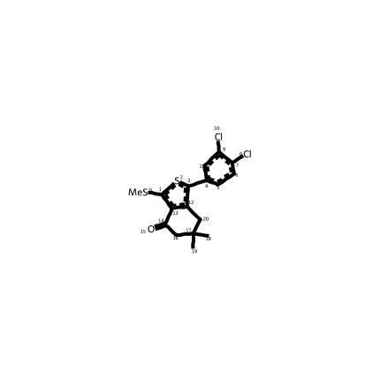 CSc1sc(-c2ccc(Cl)c(Cl)c2)c2c1C(=O)CC(C)(C)C2